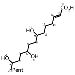 CCCCCC(O)CCC(O)CCC(O)CCCC=CC(=O)O